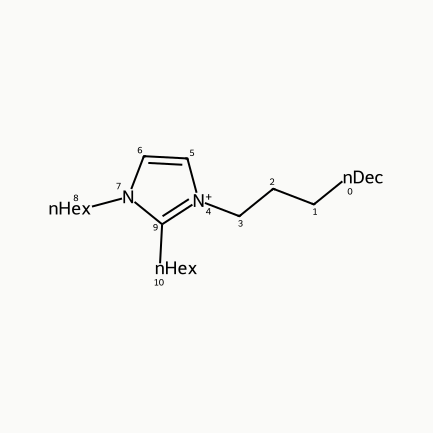 CCCCCCCCCCCCC[n+]1ccn(CCCCCC)c1CCCCCC